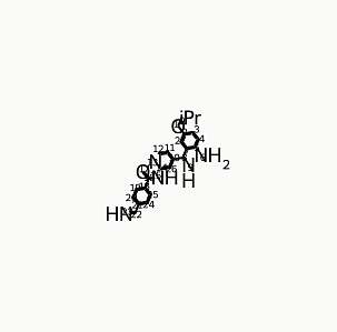 CC(C)Oc1ccc(N)c(C(=N)c2ccnc(NC(=O)c3ccc(C=N)cc3)c2)c1